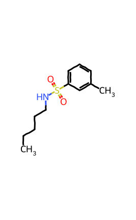 CCCCCNS(=O)(=O)c1cccc(C)c1